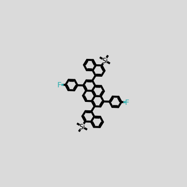 C[Si](C)(C)c1ccc(-c2cc(-c3ccc(F)cc3)c3ccc4c(-c5ccc([Si](C)(C)C)c6ccccc56)cc(-c5ccc(F)cc5)c5ccc2c3c54)c2ccccc12